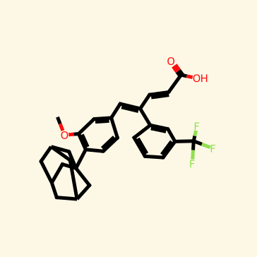 COc1cc(/C=C(/C=CC(=O)O)c2cccc(C(F)(F)F)c2)ccc1C12CC3CC(CC(C3)C1)C2